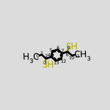 CCC(S)c1ccc(C(S)CC)cc1